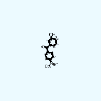 CCN(CC)c1ccc(C(=O)c2cccc(C)c2)cc1